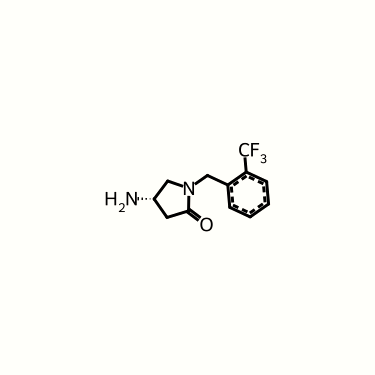 N[C@H]1CC(=O)N(Cc2ccccc2C(F)(F)F)C1